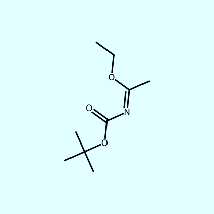 CCO/C(C)=N\C(=O)OC(C)(C)C